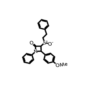 COc1ccc(C2C([S+]([O-])CCc3ccccc3)C(=O)N2c2ccccc2)cc1